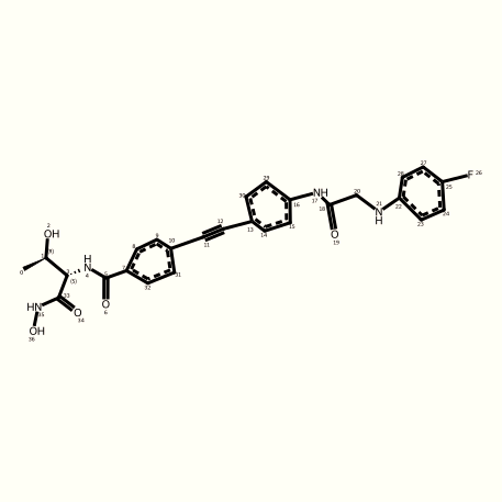 C[C@@H](O)[C@H](NC(=O)c1ccc(C#Cc2ccc(NC(=O)CNc3ccc(F)cc3)cc2)cc1)C(=O)NO